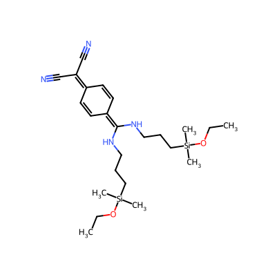 CCO[Si](C)(C)CCCNC(NCCC[Si](C)(C)OCC)=c1ccc(=C(C#N)C#N)cc1